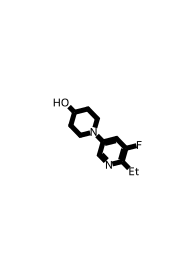 CCc1ncc(N2CCC(O)CC2)cc1F